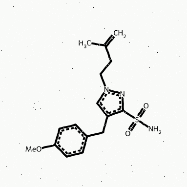 C=C(C)CCn1cc(Cc2ccc(OC)cc2)c(S(N)(=O)=O)n1